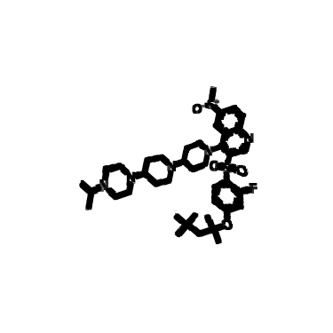 CC(C)N1CCN(C2CCN(C3CCN(c4c(S(=O)(=O)c5ccc(OC(C)(C)CC(C)(C)C)cc5F)cnc5ccc([S+](C)[O-])cc45)CC3)CC2)CC1